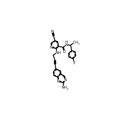 CC(NC(=O)c1cc(C#N)cnc1NCC#Cc1ccc2nc(N)ncc2c1)c1ccc(F)cc1